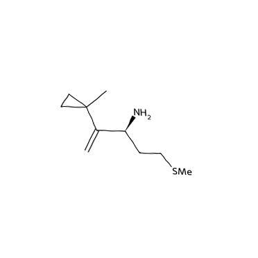 C=C([C@@H](N)CCSC)C1(C)CC1